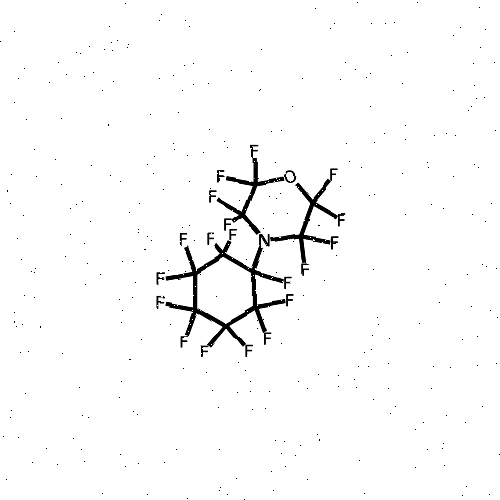 FC1(F)OC(F)(F)C(F)(F)N(C2(F)C(F)(F)C(F)(F)C(F)(F)C(F)(F)C2(F)F)C1(F)F